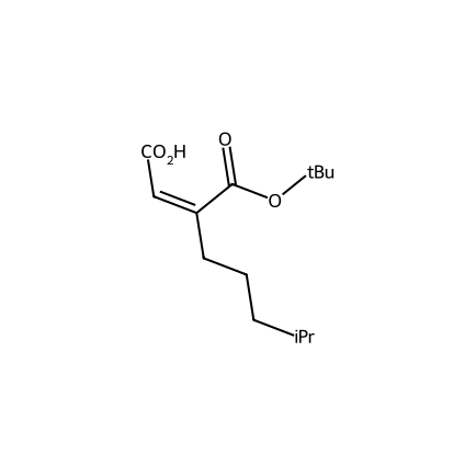 CC(C)CCCC(=CC(=O)O)C(=O)OC(C)(C)C